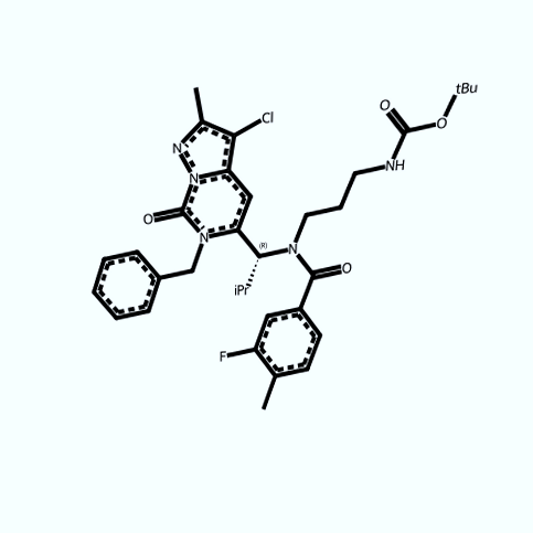 Cc1ccc(C(=O)N(CCCNC(=O)OC(C)(C)C)[C@@H](c2cc3c(Cl)c(C)nn3c(=O)n2Cc2ccccc2)C(C)C)cc1F